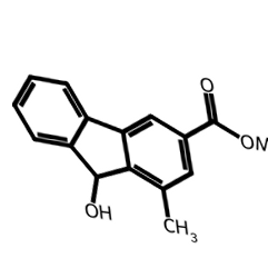 COC(=O)c1cc(C)c2c(c1)-c1ccccc1C2O